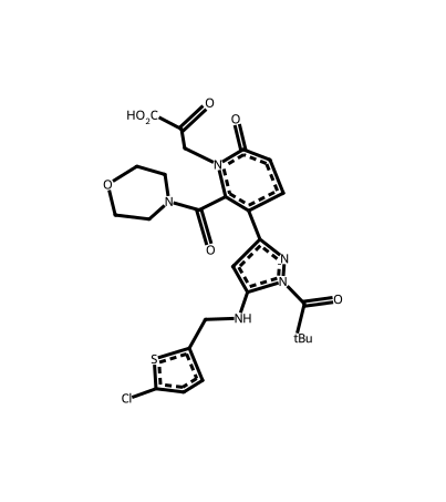 CC(C)(C)C(=O)n1nc(-c2ccc(=O)n(CC(=O)C(=O)O)c2C(=O)N2CCOCC2)cc1NCc1ccc(Cl)s1